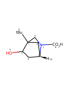 CC(C)(C)C12C[C@@H](CC1O)N(C(=O)O)C2